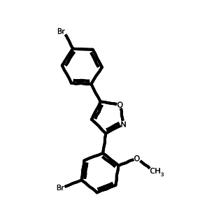 COc1ccc(Br)cc1-c1cc(-c2ccc(Br)cc2)on1